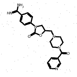 N=C(N)c1ccc(N2CC(CN3CCN(C(=O)c4cccnc4)CC3)OC2=O)cc1